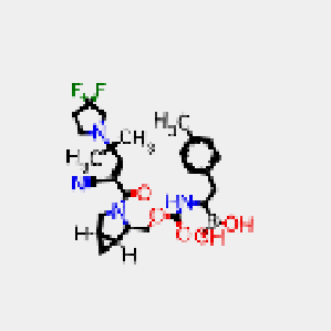 Cc1ccc(CC(NC(=O)OC[C@H]2[C@H]3C[C@H]3CN2C(=O)C(C#N)=CC(C)(C)N2CCC(F)(F)C2)B(O)O)cc1